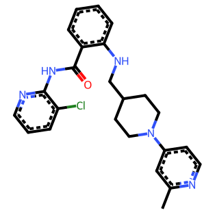 Cc1cc(N2CCC(CNc3ccccc3C(=O)Nc3ncccc3Cl)CC2)ccn1